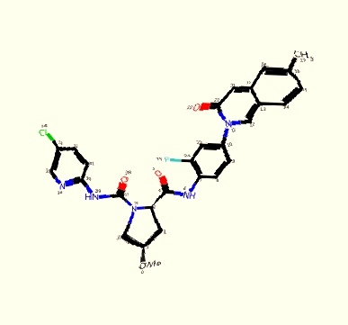 CO[C@@H]1C[C@H](C(=O)Nc2ccc(-n3cc4ccc(C)cc4cc3=O)cc2F)N(C(=O)Nc2ccc(Cl)cn2)C1